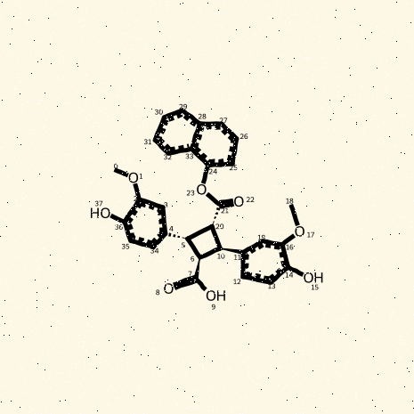 COc1cc([C@H]2[C@H](C(=O)O)[C@H](c3ccc(O)c(OC)c3)[C@H]2C(=O)Oc2cccc3ccccc23)ccc1O